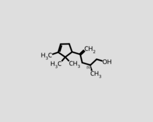 C=C(C[C@H](C)CO)C1CC=C(C)C1(C)C